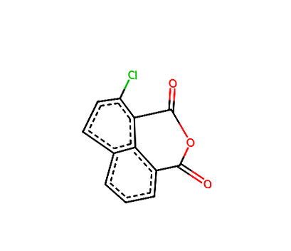 O=C1OC(=O)c2c(Cl)ccc3cccc1c23